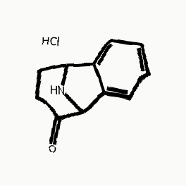 Cl.O=C1CCC2NC1c1ccccc12